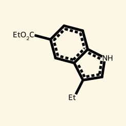 CCOC(=O)c1ccc2[nH]cc(CC)c2c1